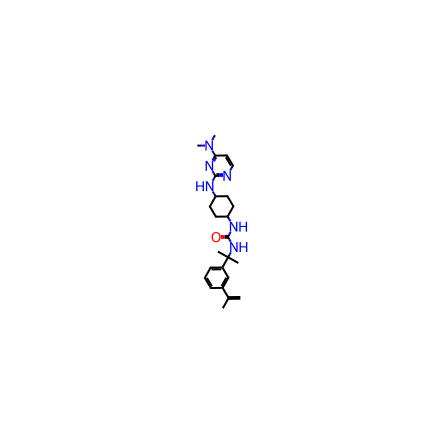 C=C(C)c1cccc(C(C)(C)NC(=O)NC2CCC(Nc3nccc(N(C)C)n3)CC2)c1